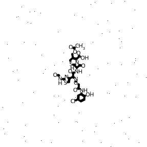 CC(=O)OCC1=C(C(=O)O)N2C(=O)[C@@H](NC(=O)C(=NOCC(=O)Nc3cc(Cl)ccc3O)c3csc(NC=O)n3)[C@H]2SC1